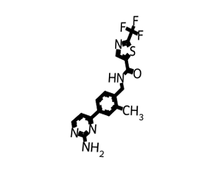 Cc1cc(-c2ccnc(N)n2)ccc1CNC(=O)c1cnc(C(F)(F)F)s1